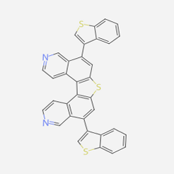 c1ccc2c(-c3cc4sc5cc(-c6csc7ccccc67)c6cnccc6c5c4c4ccncc34)csc2c1